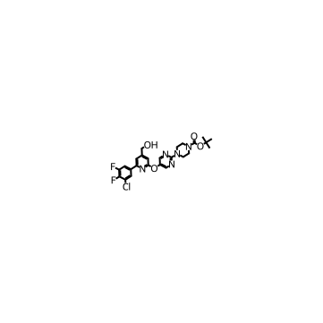 CC(C)(C)OC(=O)N1CCN(c2ncc(Oc3cc(CO)cc(-c4cc(F)c(F)c(Cl)c4)n3)cn2)CC1